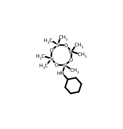 C[Si]1(C)O[Si](C)(C)O[Si](C)(NC2CCCCC2)O[Si](C)(C)O1